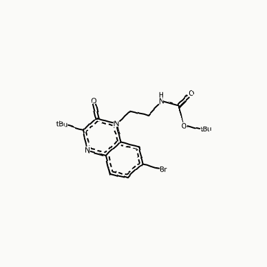 CC(C)(C)OC(=O)NCCn1c(=O)c(C(C)(C)C)nc2ccc(Br)cc21